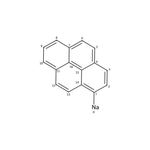 [Na][c]1ccc2ccc3cccc4ccc1c2c34